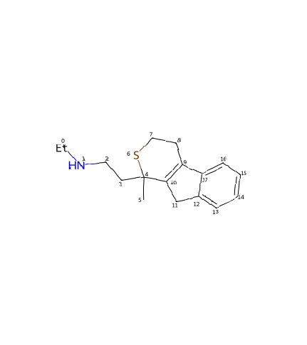 CCNCCC1(C)SCCC2=C1Cc1ccccc12